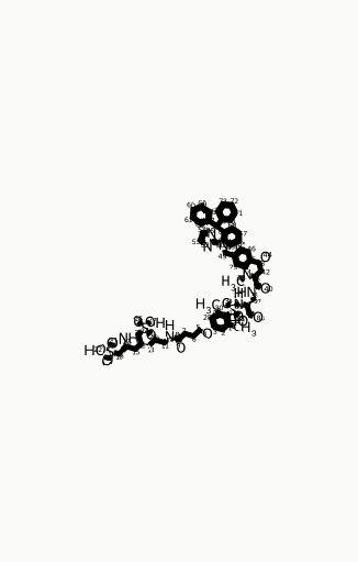 Cc1cc(OCCCC(=O)NCCC[C@H](C[C@@H](N)CS(=O)(=O)O)CS(=O)(=O)O)cc(C)c1S(=O)(=O)N[C@@H](CNC(=O)C1CC(=O)c2ccc(CNc3nccn3C(c3ccccc3)(c3ccccc3)c3ccccc3)cc2N1C)C(=O)O